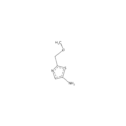 COCc1ncc(N)s1